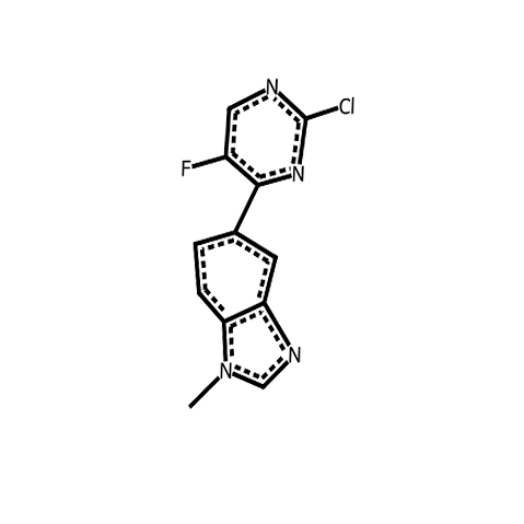 Cn1cnc2cc(-c3nc(Cl)ncc3F)ccc21